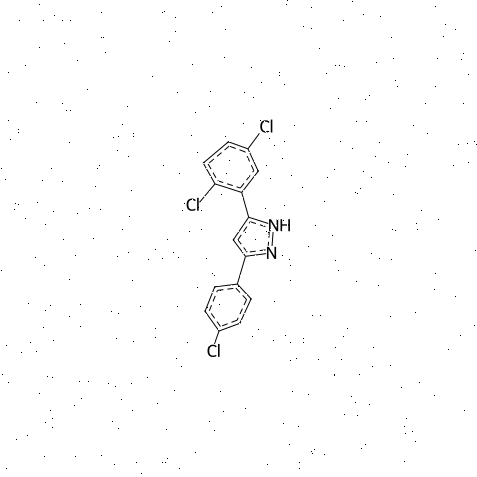 Clc1ccc(-c2cc(-c3cc(Cl)ccc3Cl)[nH]n2)cc1